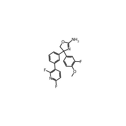 COc1ccc(C2(c3cccc(-c4ccc(F)nc4F)c3)COC(N)=N2)cc1F